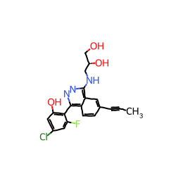 CC#Cc1ccc2c(-c3c(O)cc(Cl)cc3F)nnc(NC[C@H](O)CO)c2c1